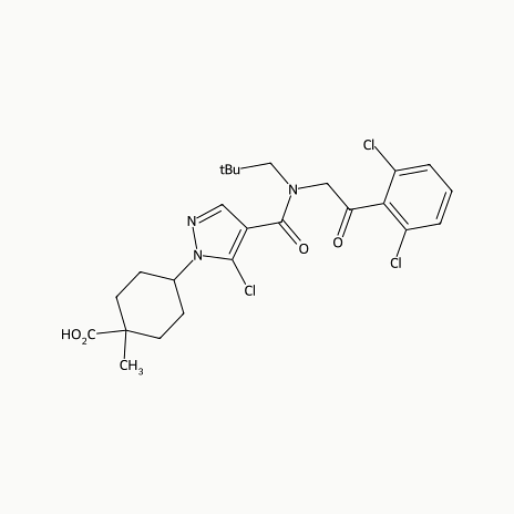 CC(C)(C)CN(CC(=O)c1c(Cl)cccc1Cl)C(=O)c1cnn(C2CCC(C)(C(=O)O)CC2)c1Cl